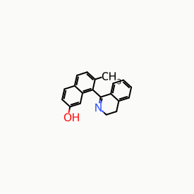 Cc1ccc2ccc(O)cc2c1C1=NCCc2ccccc21